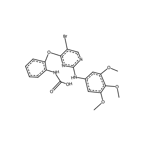 COc1cc(Nc2ncc(Br)c(Oc3ccccc3NC(=O)O)n2)cc(OC)c1OC